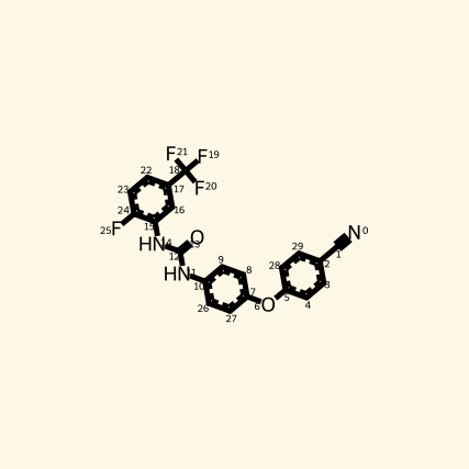 N#Cc1ccc(Oc2ccc(NC(=O)Nc3cc(C(F)(F)F)ccc3F)cc2)cc1